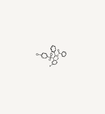 O=C(OC(=C(c1cc(F)ccc1F)S(=O)(=O)c1ccc(Cl)cc1)c1ccccc1)c1ccccc1